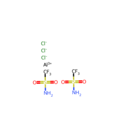 NS(=O)(=O)C(F)(F)F.NS(=O)(=O)C(F)(F)F.[Al+3].[Cl-].[Cl-].[Cl-]